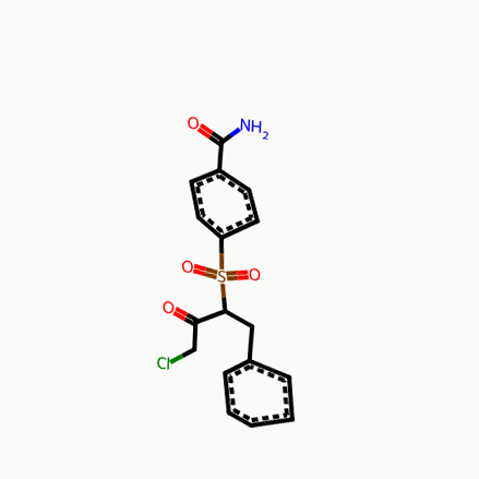 NC(=O)c1ccc(S(=O)(=O)C(Cc2ccccc2)C(=O)CCl)cc1